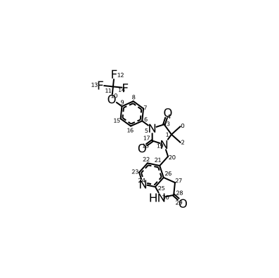 CC1(C)C(=O)N(c2ccc(OC(F)(F)F)cc2)C(=O)N1Cc1ccnc2c1CC(=O)N2